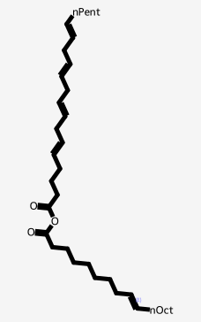 CCCCCC=CCC=CCC=CCC=CCCCC(=O)OC(=O)CCCCCCC/C=C/CCCCCCCC